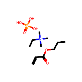 C=CC(=O)OCCC.CC[N+](C)(C)C.O=P(O)(O)O